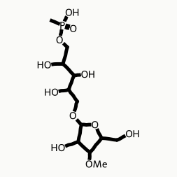 COC1C(CO)OC(OCC(O)C(O)C(O)COP(C)(=O)O)C1O